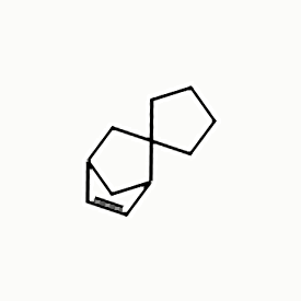 C1=CC2CC1CC21CCCC1